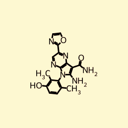 Cc1ccc(O)c(C)c1-n1c(N)c(C(N)=O)c2nc(-c3ncco3)cnc21